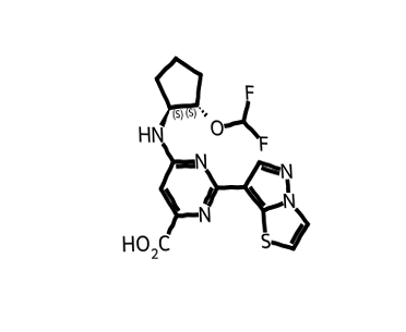 O=C(O)c1cc(N[C@H]2CCC[C@@H]2OC(F)F)nc(-c2cnn3ccsc23)n1